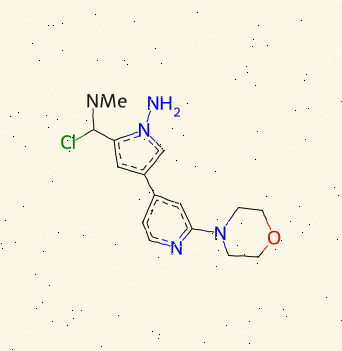 CNC(Cl)c1cc(-c2ccnc(N3CCOCC3)c2)cn1N